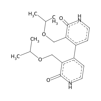 CC(C)OCc1c(-c2cc[nH]c(=O)c2COC(C)C)cc[nH]c1=O